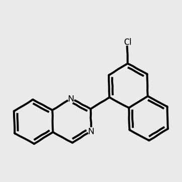 Clc1cc(-c2ncc3ccccc3n2)c2ccccc2c1